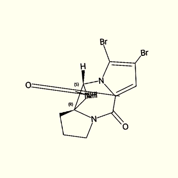 O=C1N[C@H]2n3c(cc(Br)c3Br)C(=O)N3CCC[C@]23N1